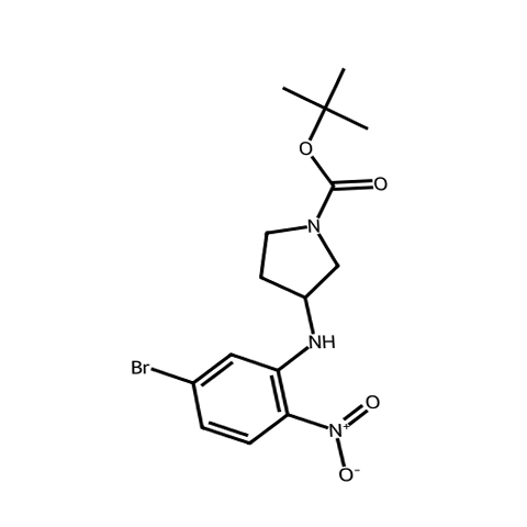 CC(C)(C)OC(=O)N1CCC(Nc2cc(Br)ccc2[N+](=O)[O-])C1